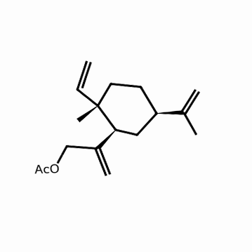 C=C[C@]1(C)CC[C@@H](C(=C)C)C[C@H]1C(=C)COC(C)=O